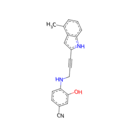 Cc1cccc2[nH]c(C#CCNc3ccc(C#N)cc3O)cc12